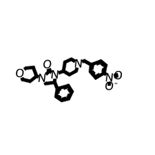 O=C1N(C2CCOCC2)CC(c2ccccc2)N1C1CCN(Cc2ccc([N+](=O)[O-])cc2)CC1